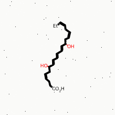 CC/C=C\C/C=C\C[C@H](O)/C=C/C=C/C=C/[C@H](O)C/C=C\CCC(=O)O